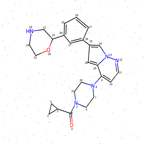 O=C(C1CC1)N1CCN(c2ccnn3cc(-c4cccc(C5CNCCO5)c4)cc23)CC1